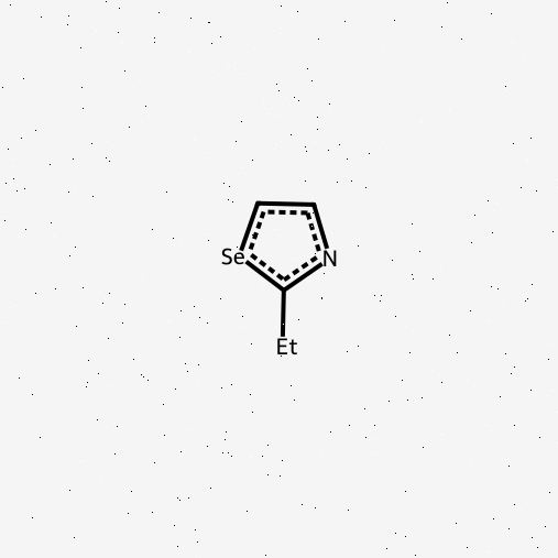 CCc1ncc[se]1